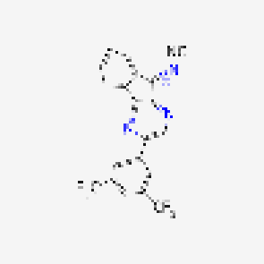 [C-]#[N+]/N=C1\c2ccccc2-c2nc(-c3cc(C(F)(F)F)cc(C(F)(F)F)c3)cnc21